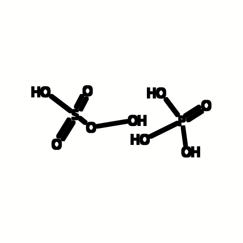 O=P(O)(O)O.O=S(=O)(O)OO